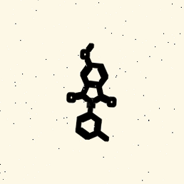 COc1ccc2c(c1)C(=O)N(c1cccc(C)c1)C2=O